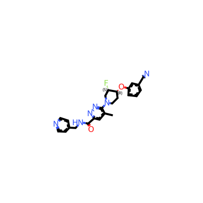 Cc1cc(C(=O)NCc2ccncc2)nnc1N1CC[C@@H](Oc2cccc(C#N)c2)[C@@H](F)C1